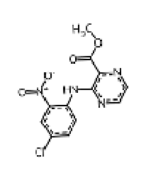 COC(=O)c1nccnc1Nc1ccc(Cl)cc1[N+](=O)[O-]